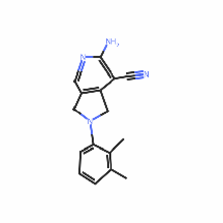 Cc1cccc(N2Cc3cnc(N)c(C#N)c3C2)c1C